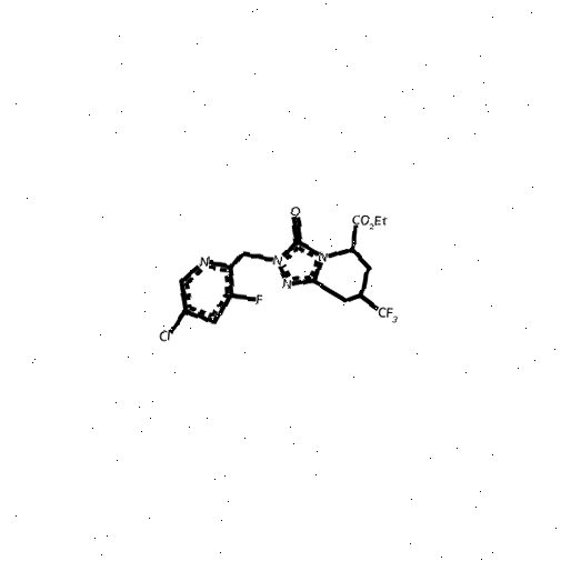 CCOC(=O)C1CC(C(F)(F)F)Cc2nn(Cc3ncc(Cl)cc3F)c(=O)n21